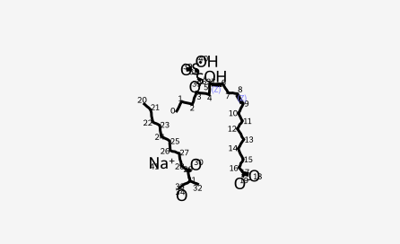 CCCCC/C=C\C/C=C\CCCCCCCC(=O)[O-].CCCCCCCCCC(=O)C(C)C=O.O=S(O)S(=O)O.[Na+]